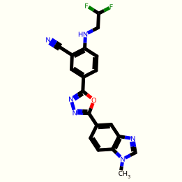 Cn1cnc2cc(-c3nnc(-c4ccc(NCC(F)F)c(C#N)c4)o3)ccc21